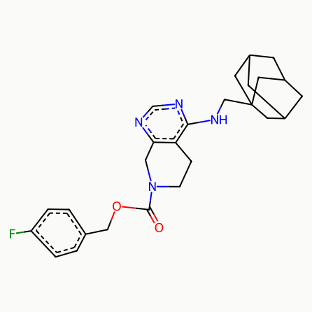 O=C(OCc1ccc(F)cc1)N1CCc2c(ncnc2NCC23CC4CC(CC(C4)C2)C3)C1